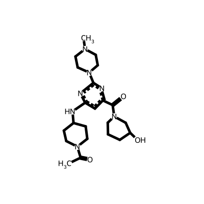 CC(=O)N1CCC(Nc2cc(C(=O)N3CCCC(O)C3)nc(N3CCN(C)CC3)n2)CC1